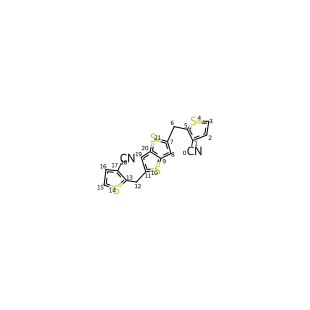 N#Cc1ccsc1Cc1cc2sc(Cc3sccc3C#N)cc2s1